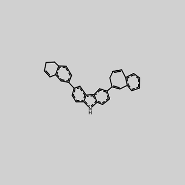 C1=Cc2cc(-c3ccc4[nH]c5ccc(C6=Cc7ccccc7C=CC6)cc5c4c3)ccc2CC1